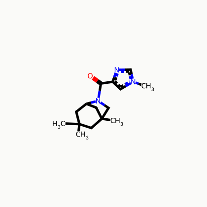 Cn1cnc(C(=O)N2CC3(C)CC2CC(C)(C)C3)c1